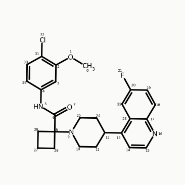 COc1cc(NC(=O)C2(N3CCC(c4ccnc5ccc(F)cc45)CC3)CCC2)ccc1Cl